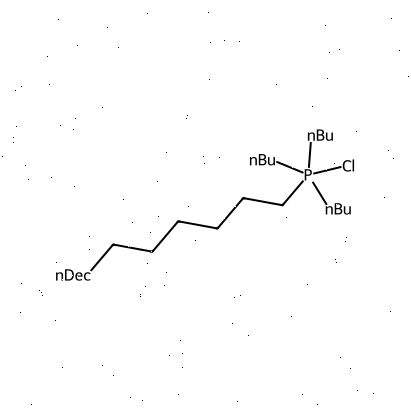 CCCCCCCCCCCCCCCCP(Cl)(CCCC)(CCCC)CCCC